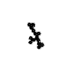 c1ccc(-n2c3ccccc3c3cc(-n4c5cc(-c6ccc7c8ccccc8c8cccnc8c7n6)ccc5c5cc6c7ccccc7c7cc(-c8ccc(-c9ccc%10c%11ccccc%11c%11cccnc%11c%10n9)cc8)ccc7c6cc54)ccc32)cc1